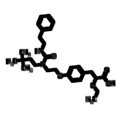 CCOC(Cc1ccc(OCCN(CCC(C)(C)C)C(=O)NCCc2ccccc2)cc1)C(=O)O